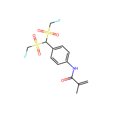 C=C(C)C(=O)Nc1ccc(C(S(=O)(=O)CF)S(=O)(=O)CF)cc1